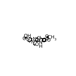 CS(=O)(=O)c1ccc(Nc2ncnc3c2OCCN3C2CCN(C(=O)O)CC2)c(Cl)c1